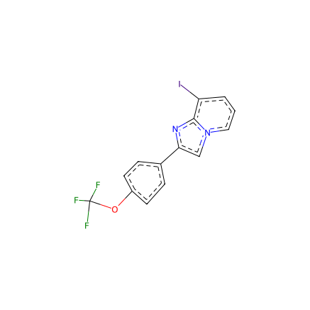 FC(F)(F)Oc1ccc(-c2cn3cccc(I)c3n2)cc1